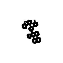 Cc1ccccc1-c1ccc2oc3ccccc3c2c1-c1ccc(-c2c3ccccc3c(-c3cccc4ccccc34)c3ccccc23)cc1